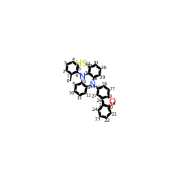 Cc1ccccc1N1c2ccccc2N(c2ccc3oc4ccccc4c3c2)c2cccc(S)c21